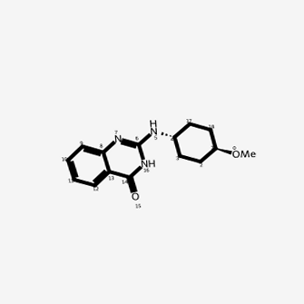 CO[C@H]1CC[C@H](Nc2nc3ccccc3c(=O)[nH]2)CC1